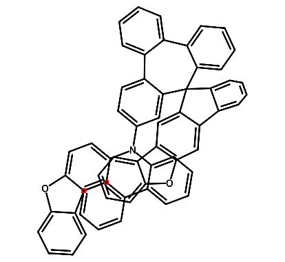 c1ccc(-c2ccccc2N(c2ccc3c(c2)C2(c4ccccc4-c4ccccc4-3)c3ccccc3-c3cc4oc5ccccc5c4cc32)c2ccc3oc4ccccc4c3c2)cc1